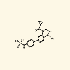 CCS(=O)(=O)Nc1ccc(-c2ccc3c(c2)N(C(=O)C2CC2)CC(C)N3C(C)=O)cc1